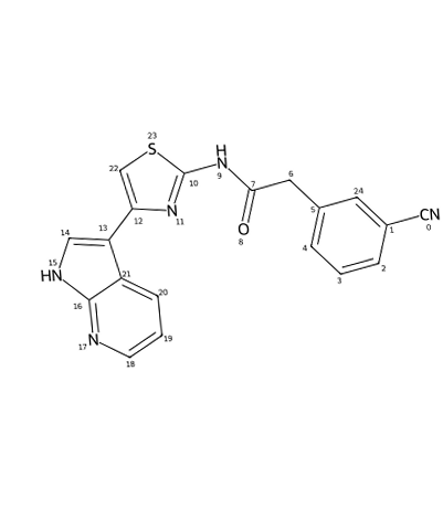 N#Cc1cccc(CC(=O)Nc2nc(-c3c[nH]c4ncccc34)cs2)c1